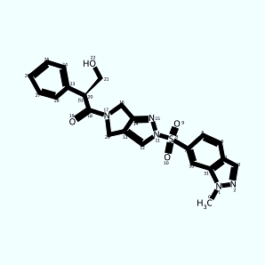 Cn1ncc2ccc(S(=O)(=O)n3cc4c(n3)CN(C(=O)[C@H](CO)c3ccccc3)C4)cc21